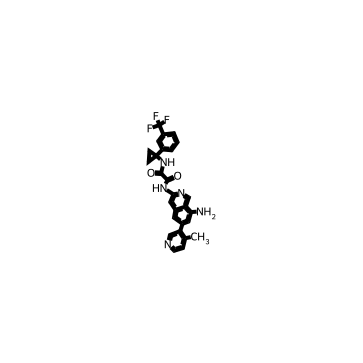 Cc1ccncc1-c1cc(N)c2cnc(NC(=O)C(=O)NC3(c4cccc(C(F)(F)F)c4)CC3)cc2c1